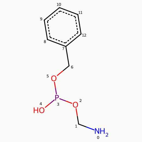 NCOP(O)OCc1ccccc1